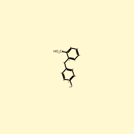 O=C(O)c1ccccc1Cc1ccc(F)cc1